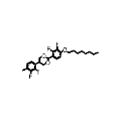 CCCCCCCCOc1ccc(C2OCC(c3ccc(C)c(F)c3F)CO2)c(F)c1F